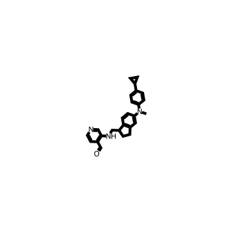 CN(c1ccc(C2CC2)cc1)c1ccc2c(c1)CCC2CNc1cnccc1C=O